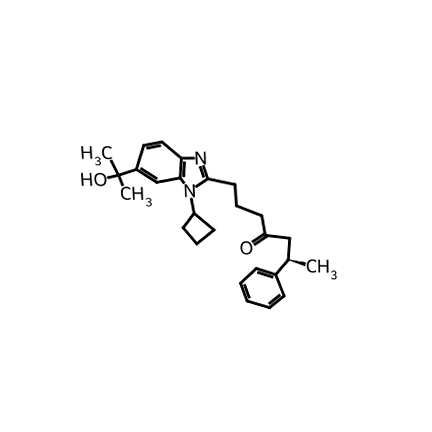 C[C@H](CC(=O)CCCc1nc2ccc(C(C)(C)O)cc2n1C1CCC1)c1ccccc1